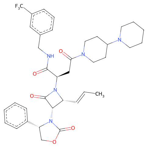 CC=C[C@@H]1[C@H](N2C(=O)OC[C@@H]2c2ccccc2)C(=O)N1[C@H](CC(=O)N1CCC(N2CCCCC2)CC1)C(=O)NCc1cccc(C(F)(F)F)c1